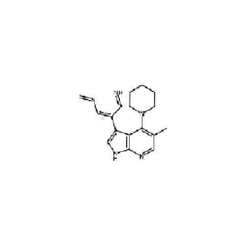 C=N/C=C(\C=N)c1c[nH]c2ncc(C)c(N3CCCCC3)c12